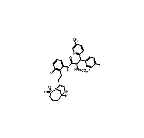 O=C(O)NC(C(=O)Nc1cccc(F)c1CC[C@H]1CN[C@@H]2CCCS(=O)(=O)N1C2)C(c1ccc(F)cc1)c1ccc(C(F)(F)F)cn1